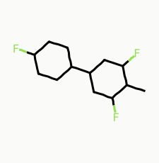 CC1C(F)CC(C2CCC(F)CC2)CC1F